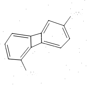 COc1ccc2c(c1)-c1cccc(OC)c1-2